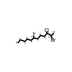 CCCCCC(I)CCCC(Cl)C(C)Br